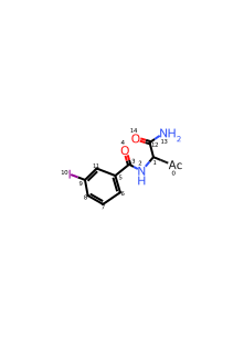 CC(=O)C(NC(=O)c1cccc(I)c1)C(N)=O